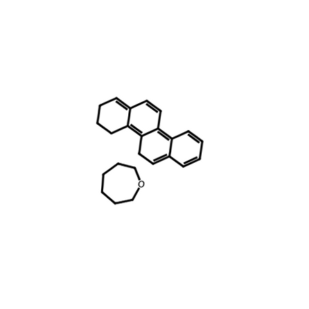 C1=c2ccc3c(c2CCC1)CC=c1ccccc1=3.C1CCCOCC1